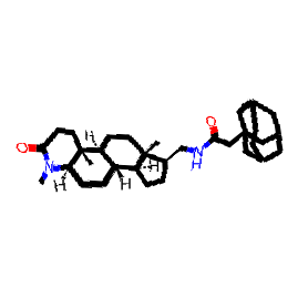 CN1C(=O)CC[C@]2(C)[C@H]3CC[C@]4(C)[C@@H](CNC(=O)CC56CC7CC(CC(C7)C5)C6)CC[C@H]4[C@@H]3CC[C@@H]12